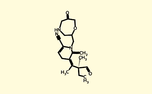 C=C1/C(=C(/C)[C@@](C)(C=O)CC)CC=C(C#N)N1CC1CNCC(=O)CO1